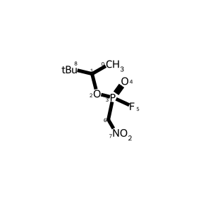 CC(OP(=O)(F)C[N+](=O)[O-])C(C)(C)C